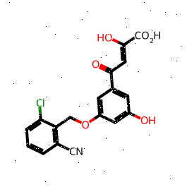 N#Cc1cccc(Cl)c1COc1cc(O)cc(C(=O)C=C(O)C(=O)O)c1